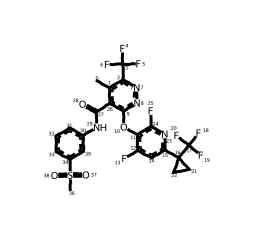 Cc1c(C(F)(F)F)nnc(Oc2c(F)cc(C3(C(F)(F)F)CC3)nc2F)c1C(=O)Nc1cccc(S(C)(=O)=O)c1